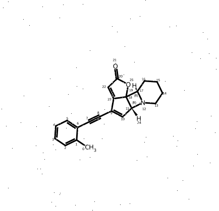 Cc1ccccc1C#CC1=C[C@H]2N3CCCC[C@@H]3C23OC(=O)C=C13